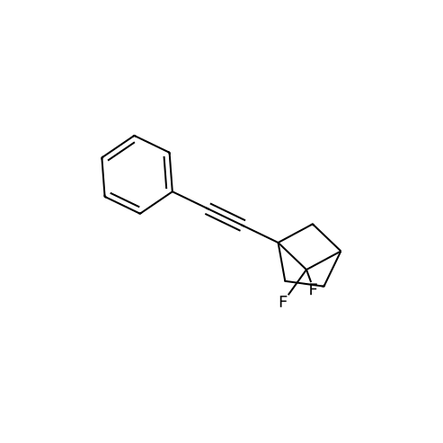 FC1(F)C2CCC1(C#Cc1ccccc1)C2